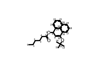 CCCCCC(=O)OC1C=C(OC(C)(C)C)c2cccc3cccc1c23